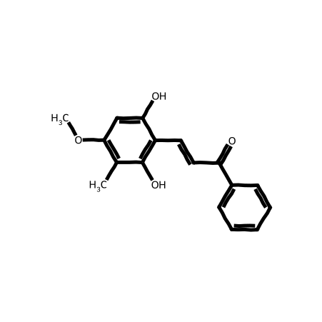 COc1cc(O)c(C=CC(=O)c2ccccc2)c(O)c1C